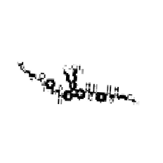 CCCCCCC1(CCCCCC)c2cc(NC(=O)Nc3cccc(NC(=O)NCCCN=C=O)c3)ccc2-c2ccc(NC(=O)Nc3cccc(NC(=O)NCCCOC#N)c3)cc21